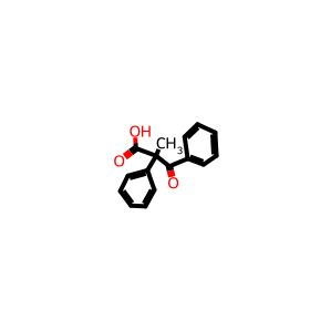 CC(C(=O)O)(C(=O)c1ccccc1)c1ccccc1